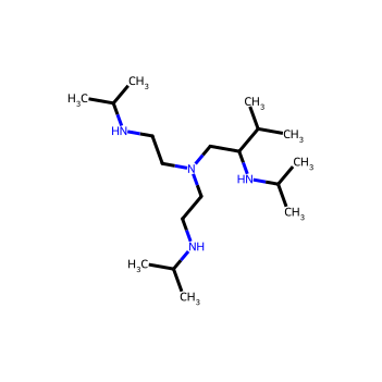 CC(C)NCCN(CCNC(C)C)CC(NC(C)C)C(C)C